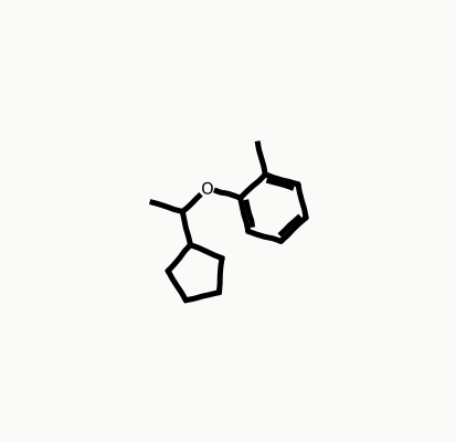 Cc1ccccc1OC(C)C1CCCC1